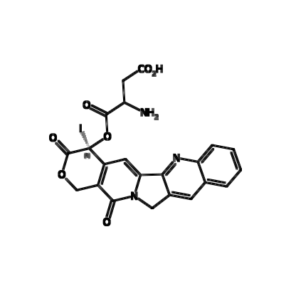 NC(CC(=O)O)C(=O)O[C@]1(I)C(=O)OCc2c1cc1n(c2=O)Cc2cc3ccccc3nc2-1